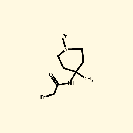 CC(C)CC(=O)NC1(C)CCN(C(C)C)CC1